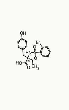 CC[C@@](Cc1ccc(O)cc1)(NS(=O)(=O)c1ccccc1Br)C(=O)O